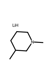 CC1CCCN(C)C1.[LiH]